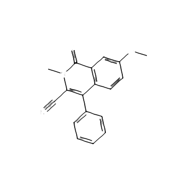 COc1ccc2c(-c3ccccc3)c(C#N)n(C)c(=O)c2c1